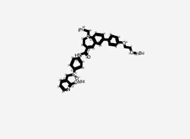 CCCCOCCOc1ccc(-c2ccc3c(c2)C=C(C(=O)Nc2ccc([S+]([O-])Cc4cccnc4OC)cc2)CCN3CC(C)C)cc1